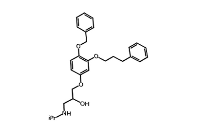 CC(C)NCC(O)COc1ccc(OCc2ccccc2)c(OCCCc2ccccc2)c1